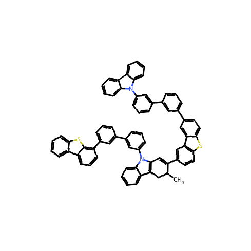 CC1Cc2c(n(-c3cccc(-c4cccc(-c5cccc6c5sc5ccccc56)c4)c3)c3ccccc23)C=C1c1ccc2sc3ccc(-c4cccc(-c5cccc(-n6c7ccccc7c7ccccc76)c5)c4)cc3c2c1